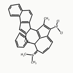 CC1=Cc2c(ccc3ccccc23)C1C1=C2C(=CC=CC(=[Si](C)C)C2c2ccccc2)[C]([Hf]([Cl])[Cl])=C1C